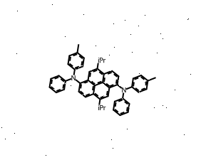 Cc1ccc(N(c2ccccc2)c2ccc3c(C(C)C)cc4c(N(c5ccccc5)c5ccc(C)cc5)ccc5c(C(C)C)cc2c3c54)cc1